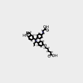 CC/C(=C(/c1ccc(/C=C/C(=O)O)cc1)c1ccc2[nH]ncc2c1)c1ccc(OCCCCC(=O)O)cc1